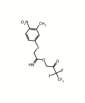 Cc1cc(SCC(=N)OCC(=O)C(F)(F)C(F)(F)F)ccc1[N+](=O)[O-]